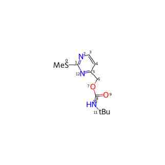 CSc1nccc(COC(=O)NC(C)(C)C)n1